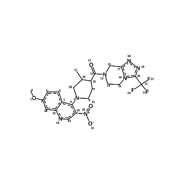 COc1ccc2c(N3CCC(C(=O)N4CCn5c(nnc5C(F)(F)F)C4)C(C)C3)c([N+](=O)[O-])cnc2c1